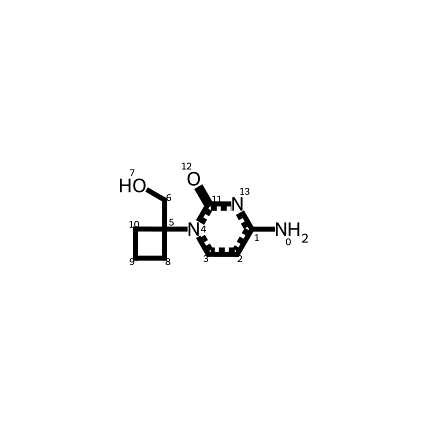 Nc1ccn(C2(CO)CCC2)c(=O)n1